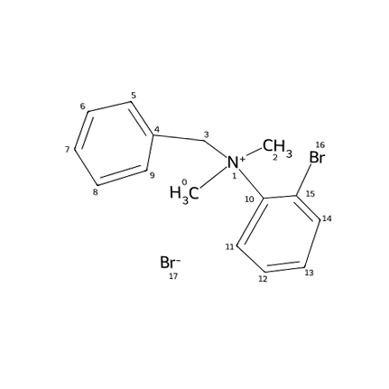 C[N+](C)(Cc1ccccc1)c1ccccc1Br.[Br-]